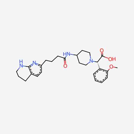 COc1ccccc1[C@@H](C(=O)O)N1CCC(NC(=O)CCCc2ccc3c(n2)NCCC3)CC1